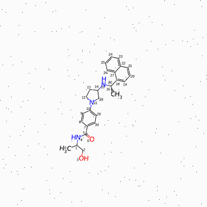 CC(CO)NC(=O)c1ccc(N2CCC(N[C@H](C)c3cccc4ccccc34)C2)cc1